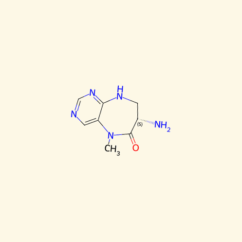 CN1C(=O)[C@@H](N)CNc2ncncc21